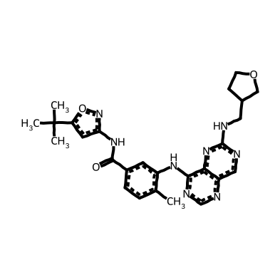 Cc1ccc(C(=O)Nc2cc(C(C)(C)C)on2)cc1Nc1ncnc2cnc(NCC3CCOC3)nc12